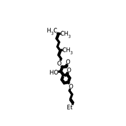 CCC=CCCOc1ccc2c(O)c(OC/C=C(\C)CCC=C(C)C)c(=O)oc2c1